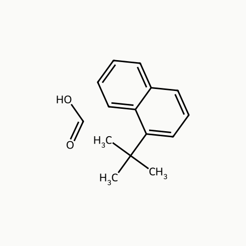 CC(C)(C)c1cccc2ccccc12.O=CO